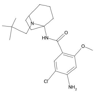 COc1cc(N)c(Cl)cc1C(=O)NC12CCCC(CC1)N2CC(C)(C)C